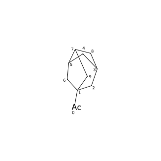 CC(=O)C12CC3CC(C1)C(C3)C2